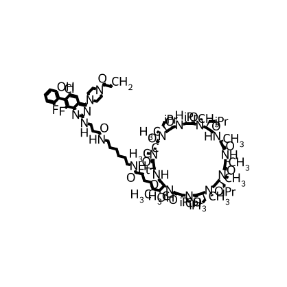 C=CC(=O)N1CCN(c2nc(NCCC(=O)NCCCCCCNC(=O)CCC[C@@H](C)[C@@H](O)[C@H]3C(=O)N[C@@H](CC)C(=O)N(C)CC(=O)N(C)[C@@H](CC(C)C)C(=O)N[C@@H](C(C)C)C(=O)N(C)[C@@H](CC(C)C)C(=O)N[C@@H](C)C(=O)N[C@H](C)C(=O)N(C)[C@@H](CC(C)C)C(=O)N(C)[C@@H](CC(C)C)C(=O)N(C)[C@@H](C(C)C)C(=O)N3C)nc3c(F)c(-c4c(O)cccc4F)c(Cl)cc23)CC1